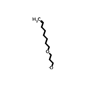 C=CCCCCCCOCCC[O]